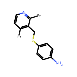 CCc1ccnc(CC)c1CSc1ccc(N)cc1